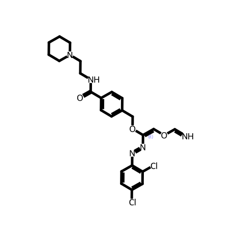 N=CO/C=C(\N=Nc1ccc(Cl)cc1Cl)OCc1ccc(C(=O)NCCN2CCCCC2)cc1